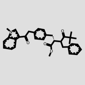 COC(=O)[C@H](Cc1ccc(CC(=O)c2cn(C)c3ccccc23)cc1)C(Cc1ccccc1)C(=O)C(C)(C)C